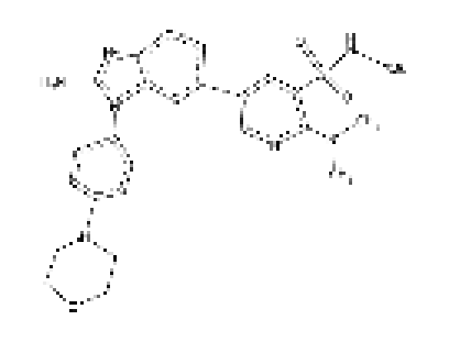 CN(C)c1ncc(-c2ccc3nc(N)n(-c4ccc(N5CCOCC5)cc4)c3c2)cc1S(=O)(=O)NC(C)(C)C